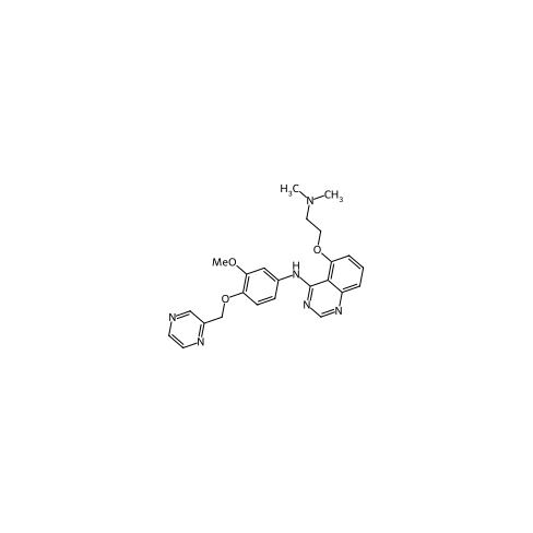 COc1cc(Nc2ncnc3cccc(OCCN(C)C)c23)ccc1OCc1cnccn1